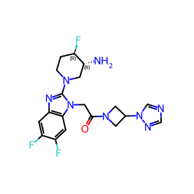 N[C@@H]1CN(c2nc3cc(F)c(F)cc3n2CC(=O)N2CC(n3cncn3)C2)CC[C@H]1F